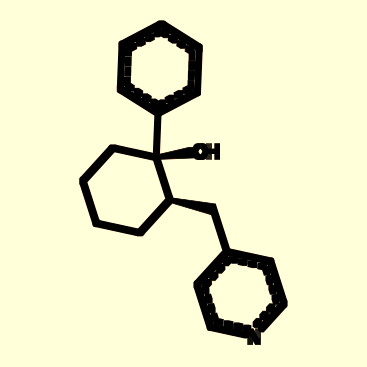 O[C@]1(c2ccccc2)CCCC[C@@H]1Cc1ccncc1